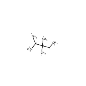 CCC(C)(C)C(N)N